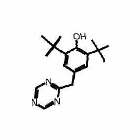 CC(C)(C)c1cc(Cc2ncncn2)cc(C(C)(C)C)c1O